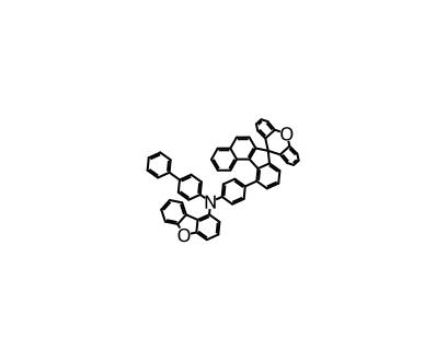 c1ccc(-c2ccc(N(c3ccc(-c4cccc5c4-c4c(ccc6ccccc46)C54c5ccccc5Oc5ccccc54)cc3)c3cccc4oc5ccccc5c34)cc2)cc1